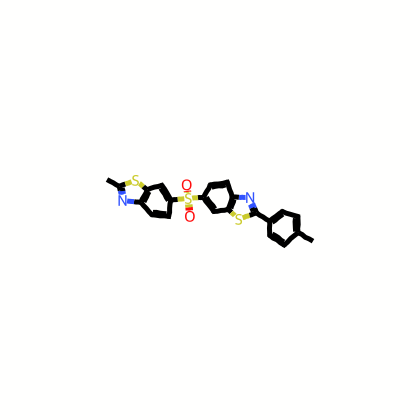 Cc1ccc(-c2nc3ccc(S(=O)(=O)c4ccc5nc(C)sc5c4)cc3s2)cc1